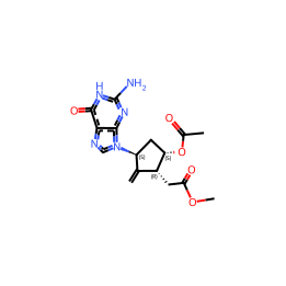 C=C1[C@@H](CC(=O)OC)[C@@H](OC(C)=O)C[C@@H]1n1cnc2c(=O)[nH]c(N)nc21